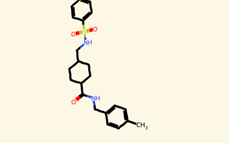 Cc1ccc(CNC(=O)C2CCC(CNS(=O)(=O)c3ccccc3)CC2)cc1